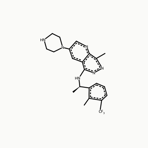 Cc1c([C@@H](C)Nc2nnc(C)c3ncc(N4CCNCC4)cc23)cccc1C(F)(F)F